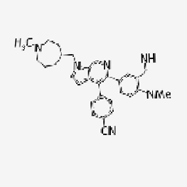 CNc1ccc(-c2ncc3c(ccn3CC3CCCN(C)CC3)c2-c2ccc(C#N)cc2)cc1C=N